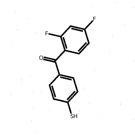 O=C(c1ccc(S)cc1)c1ccc(F)cc1F